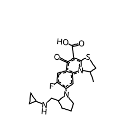 CC1CSc2c(C(=O)O)c(=O)c3cc(F)c(N4CCCC4CNC4CC4)cc3n21